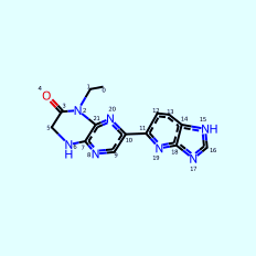 CCN1C(=O)CNc2ncc(-c3ccc4[nH]cnc4n3)nc21